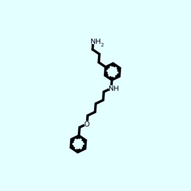 NCCCc1cccc(NCCCCCOCc2ccccc2)c1